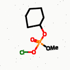 COP(=O)(OCl)OC1CCCCC1